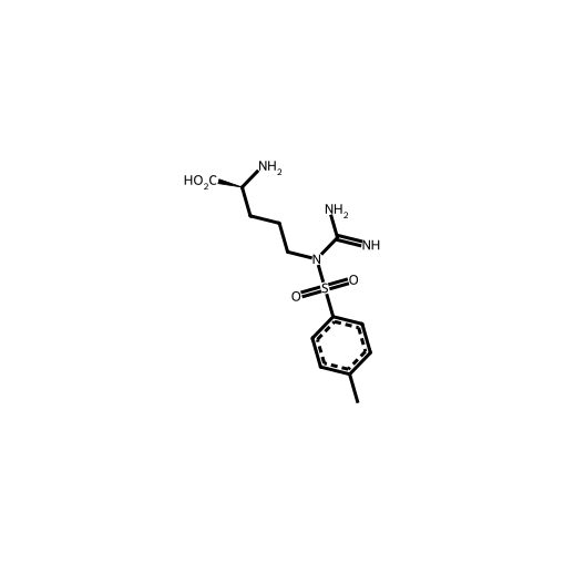 Cc1ccc(S(=O)(=O)N(CCC[C@H](N)C(=O)O)C(=N)N)cc1